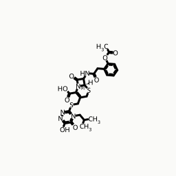 CC(=O)Oc1ccccc1CC(=O)NC1C(=O)N2C(C(=O)O)=C(CSc3nnc(O)c(=O)n3CC(C)C)CS[C@H]12